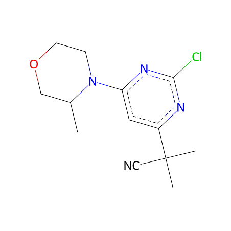 CC1COCCN1c1cc(C(C)(C)C#N)nc(Cl)n1